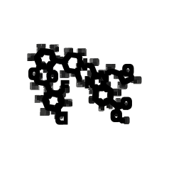 COC(=O)c1ccc2nc(CN3CCC(c4cccc5c4OC(c4ccc(Cl)cc4F)CO5)CC3C)n(CC3CCO3)c2c1